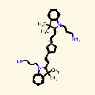 CC1(C)C(/C=C/C2=CC(=C/C=C3/N(CCCN)c4ccccc4C3(C)C)/CC2)=[N+](CCCN)c2ccccc21